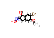 COc1cc2c(cc1Br)C(=O)/C(=N/O)C2